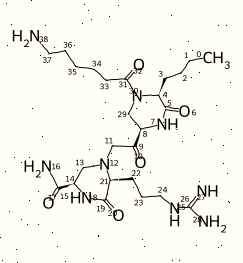 CCCC[C@H]1C(=O)N[C@@H](C(=O)CN2C[C@H](C(N)=O)NC(=O)[C@@H]2CCCNC(=N)N)CN1C(=O)CCCCCN